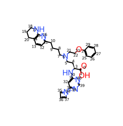 O=C(O)[C@H](CCN(CCCCc1ccc2c(n1)NCCC2)CCOc1ccccc1)Nc1cc([N+]2=CC=C2)ncn1